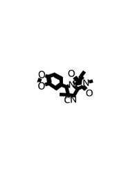 CN1C(=O)C23C[C@](C)(C#N)C(c4ccc5c(c4)OCO5)N2C(=O)C1(C)SS3